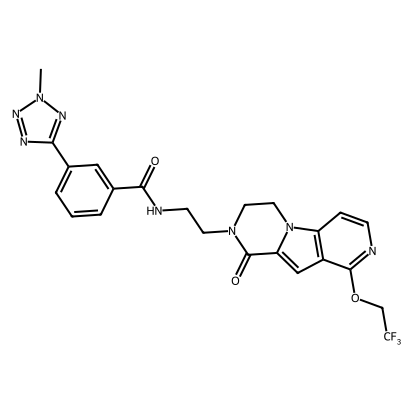 Cn1nnc(-c2cccc(C(=O)NCCN3CCn4c(cc5c(OCC(F)(F)F)nccc54)C3=O)c2)n1